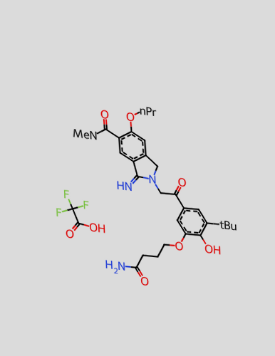 CCCOc1cc2c(cc1C(=O)NC)C(=N)N(CC(=O)c1cc(OCCCC(N)=O)c(O)c(C(C)(C)C)c1)C2.O=C(O)C(F)(F)F